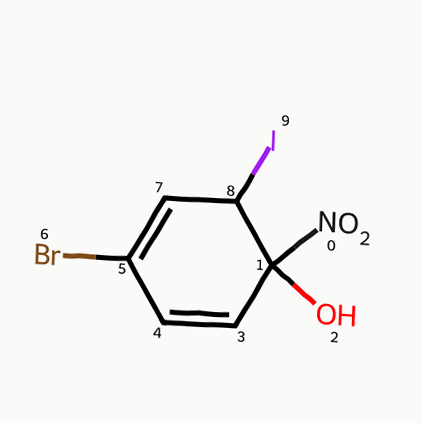 O=[N+]([O-])C1(O)C=CC(Br)=CC1I